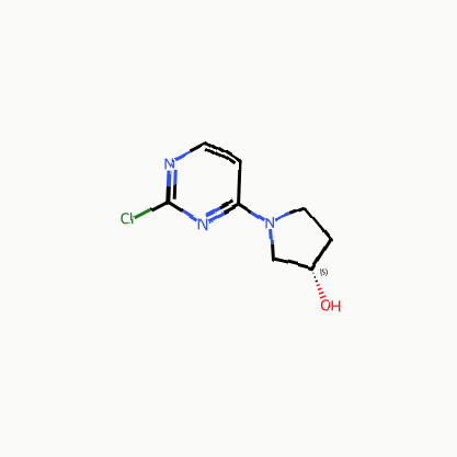 O[C@H]1CCN(c2ccnc(Cl)n2)C1